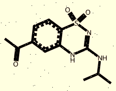 CC(=O)c1ccc2c(c1)NC(NC(C)C)=NS2(=O)=O